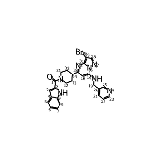 O=C(c1cc2ccccc2[nH]1)N1CCC(c2cc(NCc3cccnc3)n3ncc(Br)c3n2)CC1